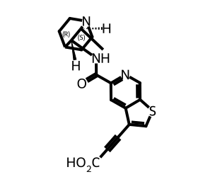 C[C@H]1[C@H](NC(=O)c2cc3c(C#CC(=O)O)csc3cn2)C2CCN1CC2